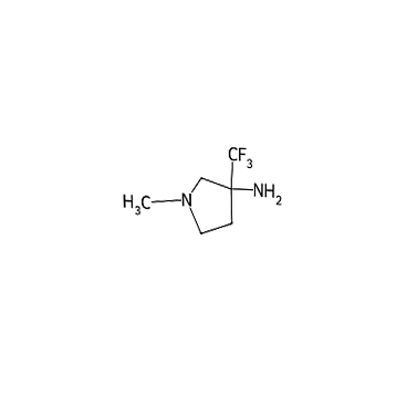 CN1CCC(N)(C(F)(F)F)C1